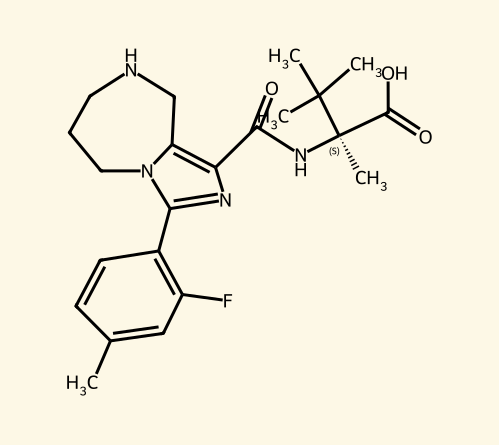 Cc1ccc(-c2nc(C(=O)N[C@](C)(C(=O)O)C(C)(C)C)c3n2CCCNC3)c(F)c1